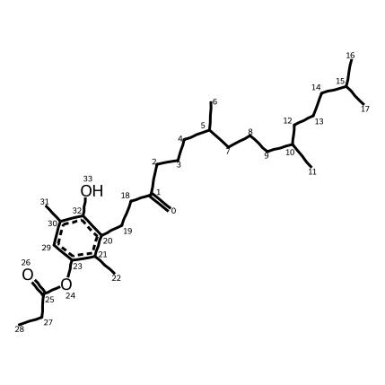 C=C(CCCC(C)CCCC(C)CCCC(C)C)CCc1c(C)c(OC(=O)CC)cc(C)c1O